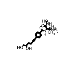 CC(C)(N)C(NC(=O)c1ccc(C#CC=CC(O)CO)cc1)C(=O)NO